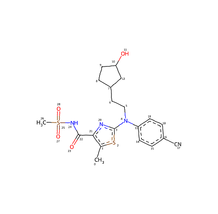 Cc1sc(N(CCC2CCC(O)C2)c2ccc(C#N)cc2)nc1C(=O)NS(C)(=O)=O